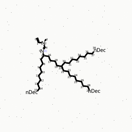 C=CN(C)/C=N/C(CCCCCCCCCCCCCCCCCC)CCCCC(CCCCCCCCCCCCCCCCCC)CCCCCCCCCCCCCCCCCC